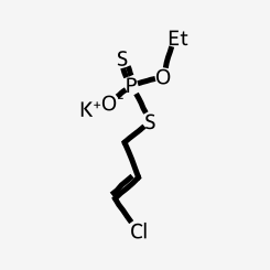 CCOP([O-])(=S)SCC=CCl.[K+]